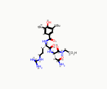 CC(C)(C)c1cc(C(=O)N[C@@H](CCCNC(=N)N)C(=O)N[C@@H](CC(N)=O)C(=O)NCC(=O)O)cc(C(C)(C)C)c1O